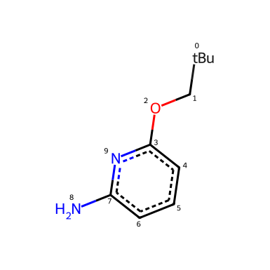 CC(C)(C)COc1cccc(N)n1